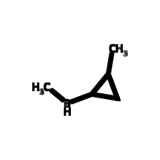 CBC1CC1C